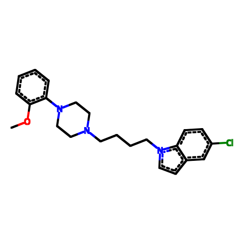 COc1ccccc1N1CCN(CCCCn2ccc3cc(Cl)ccc32)CC1